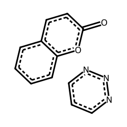 O=c1ccc2ccccc2o1.c1cnnnc1